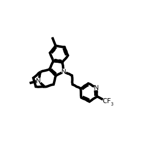 Cc1ccc2c(c1)c1c(n2CCc2ccc(C(F)(F)F)nc2)CC2CCC1N2C